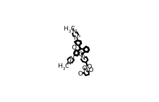 CN1CCN(c2ccc3c(-c4ccccc4C(=O)N4CCC(C(=O)ON5C(=O)CCC5=O)CC4)c4ccc(=[N+]5CCN(C)CC5)cc-4oc3c2)CC1